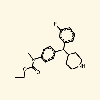 CCOC(=O)N(C)c1ccc(C(c2cccc(F)c2)C2CCNCC2)cc1